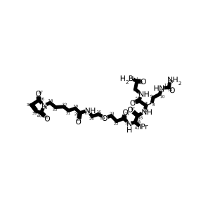 BC(=O)CNC(=O)[C@H](CCCNC(N)=O)NC(=O)C(NC(=O)CCOCCNC(=O)CCCCCN1C(=O)C=CC1=O)C(C)C